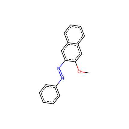 COc1cc2ccccc2cc1/N=N/c1ccccc1